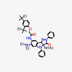 CCC(C)(C)c1ccc(OCC(=O)Nc2cccc(C3=NN(c4ccccc4)C(=O)C3(NC(C)=O)Nc3ccccc3)c2)c(C(C)(C)CC)c1.CCNCC